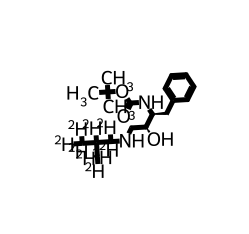 [2H]C([2H])([2H])C([2H])(C([2H])([2H])[2H])C([2H])([2H])NC[C@@H](O)[C@H](Cc1ccccc1)NC(=O)OC(C)(C)C